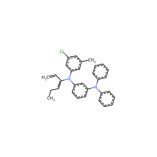 C=C/C(=C\CC)N(c1cc(C)cc(Cl)c1)c1cccc(N(c2ccccc2)c2ccccc2)c1